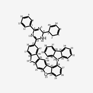 C1=CCC(C2N=C(c3ccccc3)N=C(c3ccc4sc5cc6oc7cccc(-n8c9ccccc9c9ccccc98)c7c6cc5c4c3)N2)C=C1